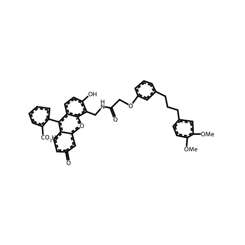 COc1ccc(CCCc2cccc(OCC(=O)NCc3c(O)ccc4c(-c5ccccc5C(=O)O)c5ccc(=O)cc-5oc34)c2)cc1OC